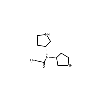 NC(=O)N([C@@H]1CCNC1)[C@@H]1CCNC1